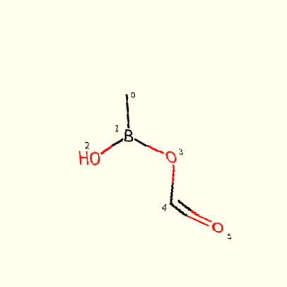 CB(O)OC=O